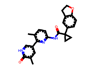 Cc1ccc(NC(=O)C2(c3ccc4c(c3)CCO4)CC2)nc1-c1c[nH]c(=O)c(C)c1